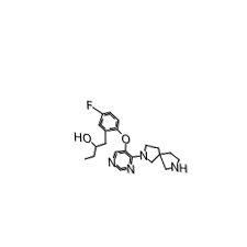 CCC(O)Cc1cc(F)ccc1Oc1cncnc1N1CCC2(CCNC2)C1